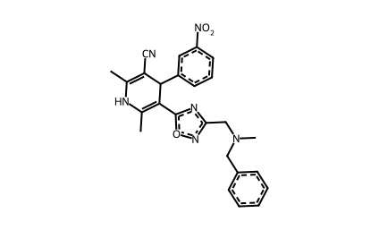 CC1=C(C#N)C(c2cccc([N+](=O)[O-])c2)C(c2nc(CN(C)Cc3ccccc3)no2)=C(C)N1